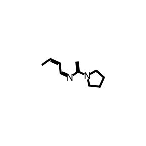 C=C(/N=C\C=C/C)N1CCCC1